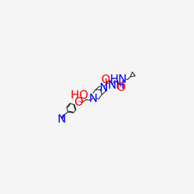 N#Cc1ccc(OCC(O)CN2CC3CC(C2)CN(C(=O)NCC(=O)NCC2CC2)C3)cc1